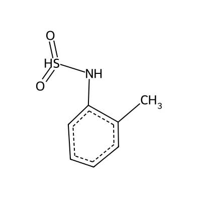 Cc1ccccc1N[SH](=O)=O